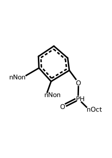 CCCCCCCCCc1cccc(O[PH](=O)CCCCCCCC)c1CCCCCCCCC